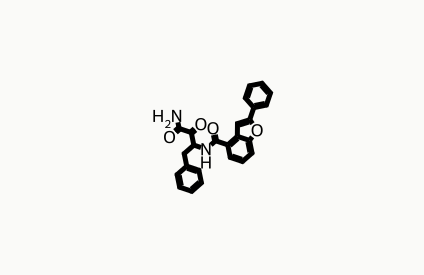 NC(=O)C(=O)C(Cc1ccccc1)NC(=O)c1cccc2oc(-c3ccccc3)cc12